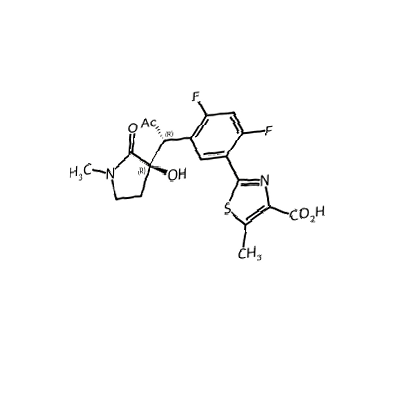 CC(=O)[C@H](c1cc(-c2nc(C(=O)O)c(C)s2)c(F)cc1F)[C@]1(O)CCN(C)C1=O